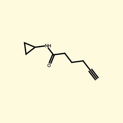 C#CCCCC(=O)NC1CC1